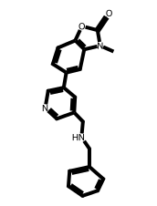 Cn1c(=O)oc2ccc(-c3cncc(CNCc4ccccc4)c3)cc21